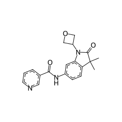 CC1(C)C(=O)N(C2COC2)c2cc(NC(=O)c3cccnc3)ccc21